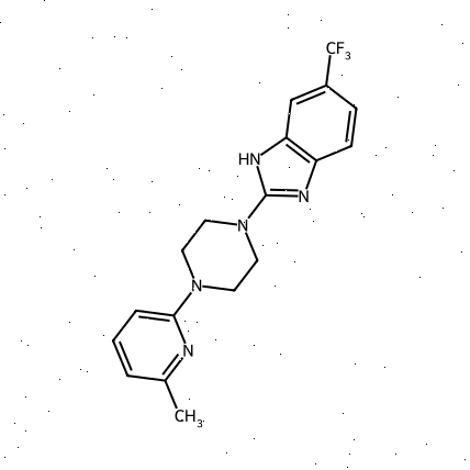 Cc1cccc(N2CCN(c3nc4ccc(C(F)(F)F)cc4[nH]3)CC2)n1